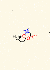 C1CC[SiH2]OC1.C[N+](C)(C)CC(=O)[O-]